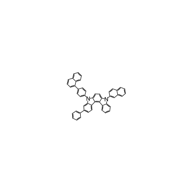 c1ccc(-c2ccc3c4c5c6ccccc6n(-c6ccc7ccccc7c6)c5ccc4n(-c4ccc(-c5cccc6ccccc56)cc4)c3c2)cc1